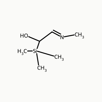 CN=CC(O)[Si](C)(C)C